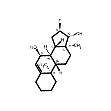 C[C@]12CC[C@H]3[C@@H]([C@H](O)C=C4CCCC[C@@]43C)[C@@H]1C[C@@H](F)[C@@H]2O